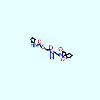 O=C(CSCC(=O)NC1CCCC1)NCCN1C(=O)CC2(CCCC2)C1=O